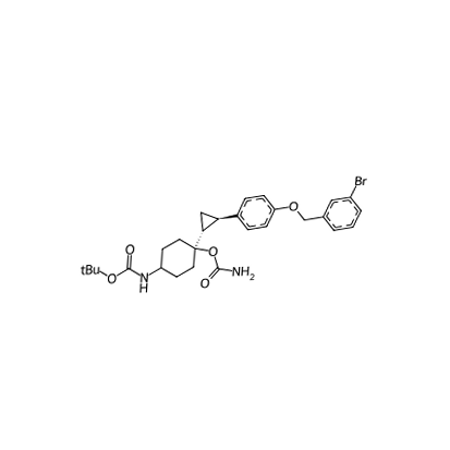 CC(C)(C)OC(=O)NC1CCC(OC(N)=O)([C@@H]2C[C@H]2c2ccc(OCc3cccc(Br)c3)cc2)CC1